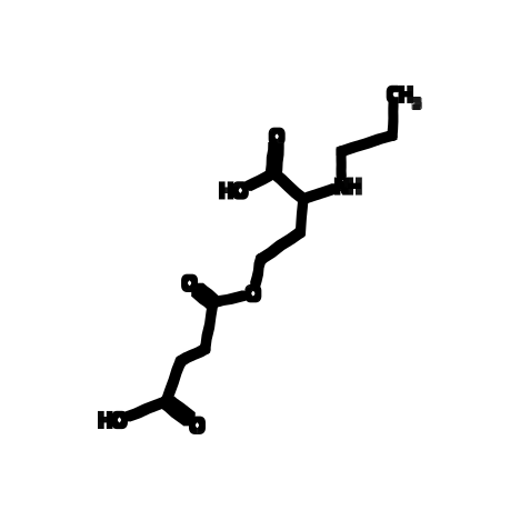 CCCNC(CCOC(=O)CCC(=O)O)C(=O)O